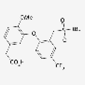 COc1ccc(CC(=O)O)cc1Oc1ccc(C(F)(F)F)cc1CS(=O)(=O)C(C)(C)C